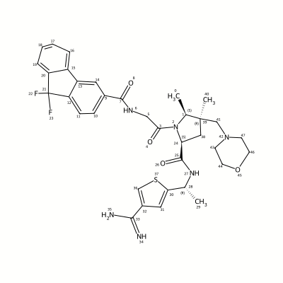 C[C@@H]1N(C(=O)CNC(=O)c2ccc3c(c2)-c2ccccc2C3(F)F)[C@H](C(=O)N[C@H](C)c2cc(C(=N)N)cs2)C[C@]1(C)CN1CCOCC1